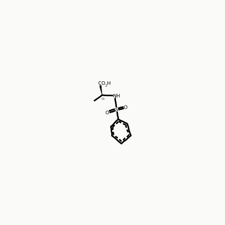 C[C@H](NS(=O)(=O)c1ccccc1)C(=O)O